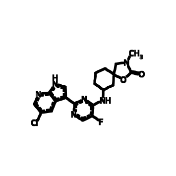 CN1CC2(CCCC(Nc3nc(-c4c[nH]c5ncc(Cl)cc45)ncc3F)C2)OC1=O